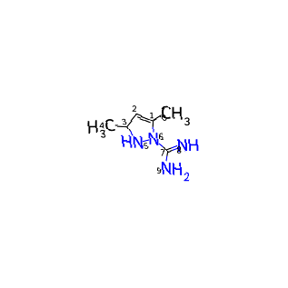 CC1=CC(C)NN1C(=N)N